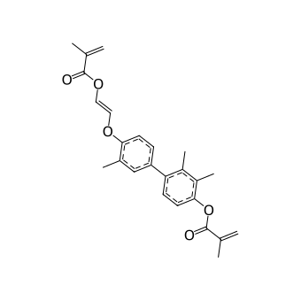 C=C(C)C(=O)O/C=C/Oc1ccc(-c2ccc(OC(=O)C(=C)C)c(C)c2C)cc1C